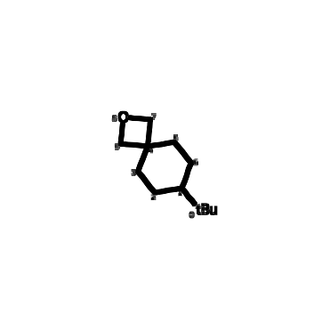 CC(C)(C)C1CCC2(CC1)COC2